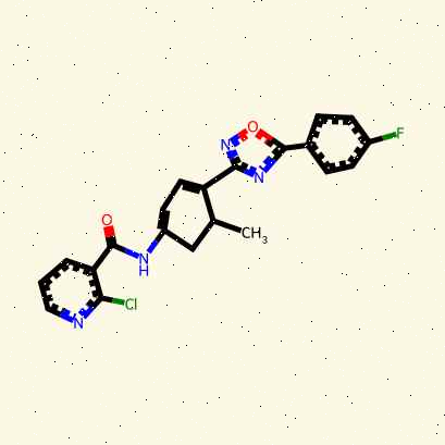 CC1CC(NC(=O)c2cccnc2Cl)=CC=C1c1noc(-c2ccc(F)cc2)n1